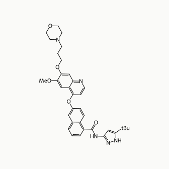 COc1cc2c(Oc3ccc4c(C(=O)Nc5cc(C(C)(C)C)[nH]n5)cccc4c3)ccnc2cc1OCCCN1CCOCC1